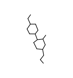 CCCC1CCC(C2CCC(CC)CC2)C(C)C1